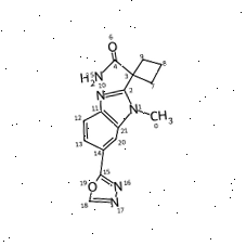 Cn1c(C2(C(N)=O)CCC2)nc2ccc(-c3nnco3)cc21